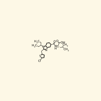 CCC(CC)n1c(Cc2ccc(Cl)s2)nc2cc(C(=O)N[C@@H](CC(C)C)C(=O)O)ccc21